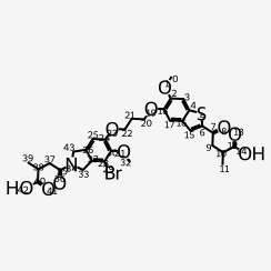 COc1cc2sc(C(=O)CC(C)C(=O)O)cc2cc1OCCCOc1cc2c(c(Br)c1OC)CN(C(=O)CC(C)C(=O)O)C2